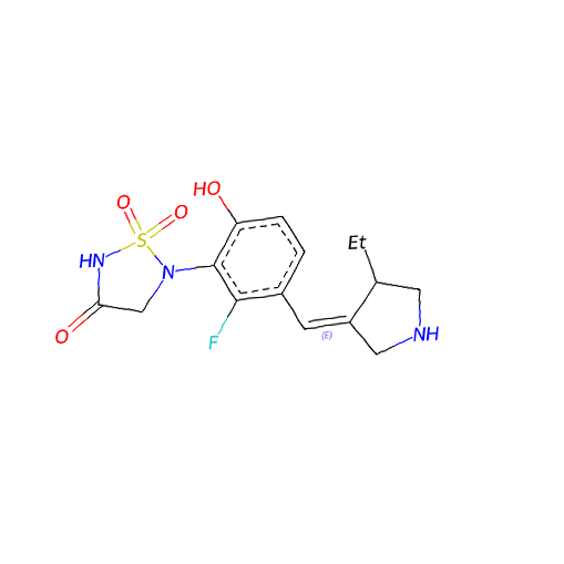 CCC1CNC/C1=C/c1ccc(O)c(N2CC(=O)NS2(=O)=O)c1F